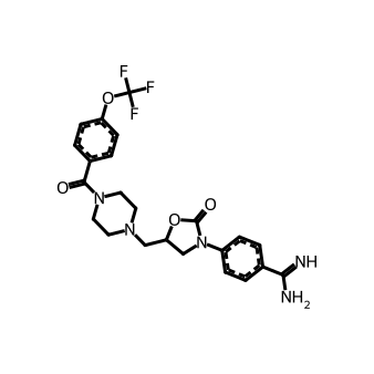 N=C(N)c1ccc(N2CC(CN3CCN(C(=O)c4ccc(OC(F)(F)F)cc4)CC3)OC2=O)cc1